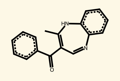 CC1=C(C(=O)c2ccccc2)C=Nc2ccccc2N1